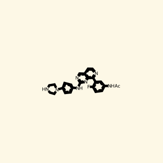 CC(=O)Nc1ccc(F)c(-c2nccc3cnc(Nc4ccc(N5CCNCC5)cc4)nc23)c1